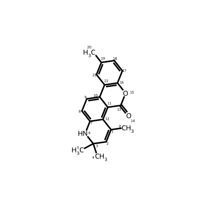 CC1=CC(C)(C)Nc2ccc3c(c21)c(=O)oc1ccc(C)cc13